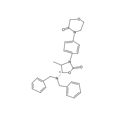 CC1[C@@H](N(Cc2ccccc2)Cc2ccccc2)OC(=O)N1c1ccc(N2CCOCC2=O)cc1